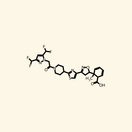 CC1(C2CC(c3csc(C4CCN(C(=O)Cn5nc(C(F)F)cc5C(F)F)CC4)n3)=NO2)C=CC=CC1C(=O)O